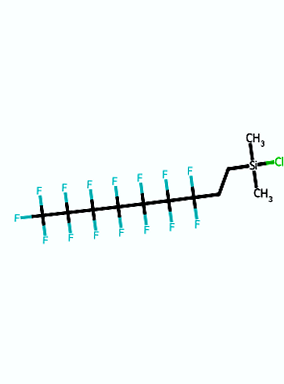 C[Si](C)(Cl)CCC(F)(F)C(F)(F)C(F)(F)C(F)(F)C(F)(F)C(F)(F)C(F)(F)F